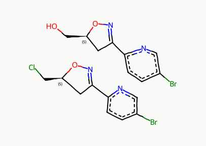 ClC[C@@H]1CC(c2ccc(Br)cn2)=NO1.OC[C@@H]1CC(c2ccc(Br)cn2)=NO1